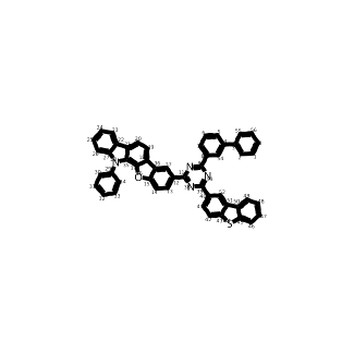 c1ccc(-c2cccc(-c3nc(-c4ccc5oc6c(ccc7c8ccccc8n(-c8ccccc8)c76)c5c4)nc(-c4ccc5sc6ccccc6c5c4)n3)c2)cc1